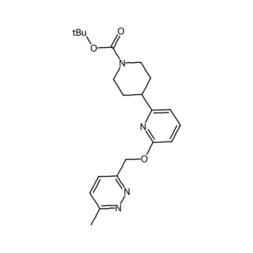 Cc1ccc(COc2cccc(C3CCN(C(=O)OC(C)(C)C)CC3)n2)nn1